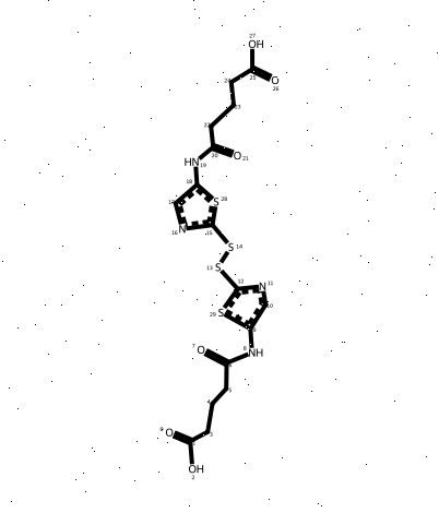 O=C(O)CCCC(=O)Nc1cnc(SSc2ncc(NC(=O)CCCC(=O)O)s2)s1